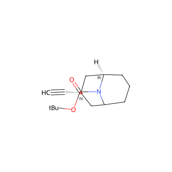 C#C[C@H]1CC2CCC[C@H](C1)N2C(=O)OC(C)(C)C